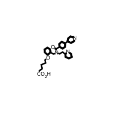 O=C(O)CCCCCOc1ccccc1CN(CCc1ccccn1)C(=O)c1ccc(-c2ccncc2)cc1